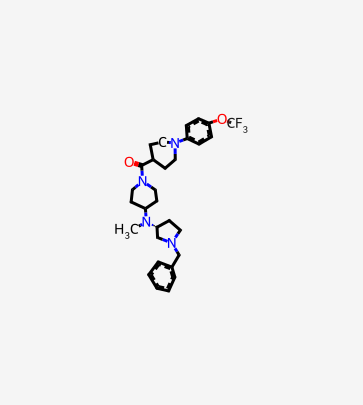 CN(C1CCN(C(=O)C2CCN(c3ccc(OC(F)(F)F)cc3)CC2)CC1)[C@@H]1CCN(Cc2ccccc2)C1